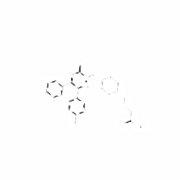 Cc1ccc(-c2nn(C[C@H]3CC[C@@H](COCC(=O)O)CC3)c(=O)nc2-c2ccccc2)cc1